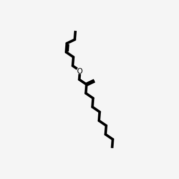 C=C(CCCCCCCCC)COCC/C=C\CC